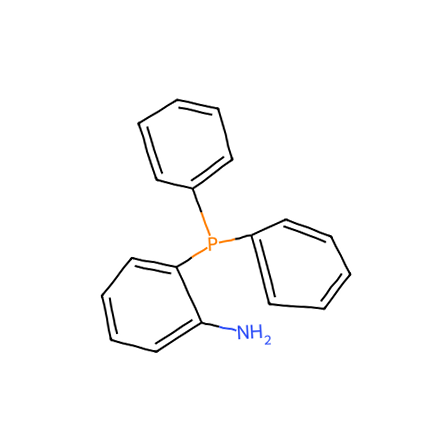 Nc1ccccc1P(c1ccccc1)c1ccccc1